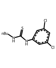 CCCCNC(=S)Nc1cc(Cl)cc(Cl)c1